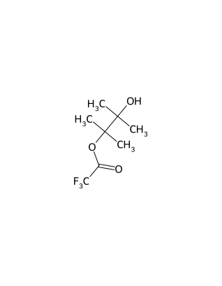 CC(C)(O)C(C)(C)OC(=O)C(F)(F)F